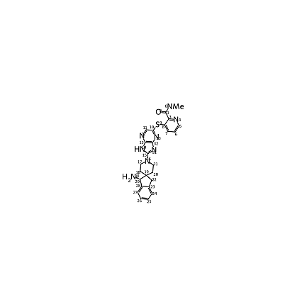 CNC(=O)c1ncccc1Sc1cnc2[nH]c(N3CCC4(CC3)Cc3ccccc3[C@H]4N)nc2n1